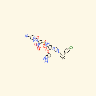 CC1(C)CCC(CN2CCN(c3ccc(C(=O)NS(=O)(=O)c4ccc(NC(=O)N5CCC(C#N)CC5)c([N+](=O)[O-])c4)c(Oc4cccc5[nH]ncc45)c3)CC2)=C(c2ccc(Cl)cc2)C1